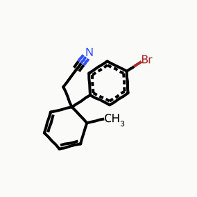 CC1C=CC=CC1(CC#N)c1ccc(Br)cc1